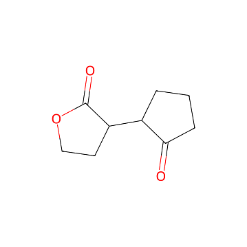 O=C1CCCC1C1CCOC1=O